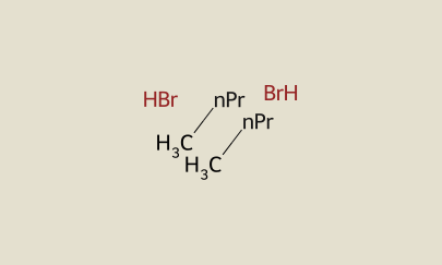 Br.Br.CCCC.CCCC